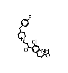 O=C1CCc2cc(C(=O)CCN3CCC(Cc4ccc(F)cc4)CC3)c(Cl)cc2N1